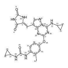 O=C1NC(=O)/C(=C/c2cnn3c(NC4CC4)nc(Oc4ccc(NC(=O)NC5CC5)c(I)c4)nc23)N1